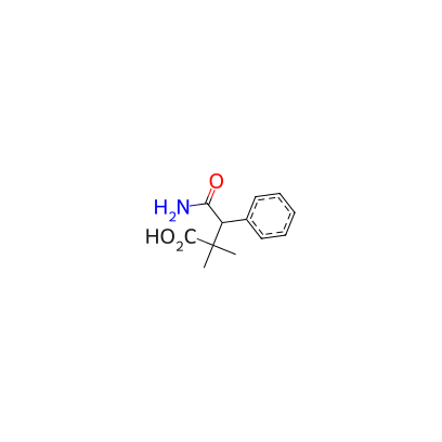 CC(C)(C(=O)O)C(C(N)=O)c1ccccc1